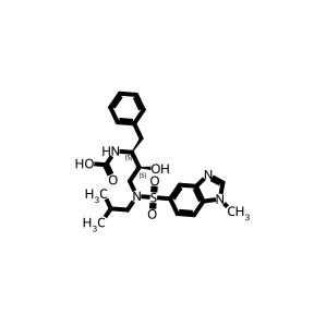 CC(C)CN(C[C@H](O)[C@H](Cc1ccccc1)NC(=O)O)S(=O)(=O)c1ccc2c(c1)ncn2C